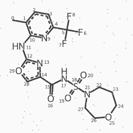 Cc1ccc(C(F)(F)F)nc1Nc1nc(C(=O)NS(=O)(=O)N2CCCOCC2)co1